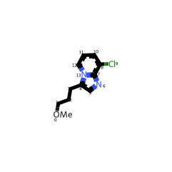 COCCCc1cnc2c(Cl)cccn12